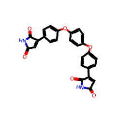 O=C1C=C(c2ccc(Oc3ccc(Oc4ccc(C5=CC(=O)NC5=O)cc4)cc3)cc2)C(=O)N1